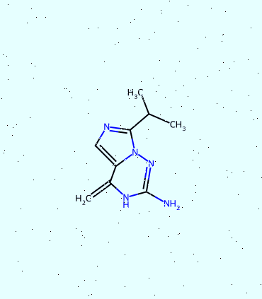 C=C1NC(N)=Nn2c1cnc2C(C)C